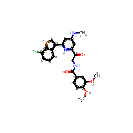 CNc1cc(C(=O)CNC(=O)c2ccc(OC)c(OC)c2)nc(-c2csc3c(F)cccc23)c1